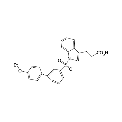 CCOc1ccc(-c2cccc(S(=O)(=O)n3cc(CCC(=O)O)c4ccccc43)c2)cc1